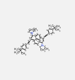 CCN(CC)c1cc(C#Cc2ccc(C(C)(C)C)cc2)c2ccc3c(N(CC)CC)cc(C#Cc4ccc(C(C)(C)C)cc4)c4ccc1c2c43